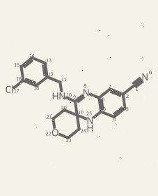 N#Cc1ccc2c(c1)N=C(NCc1cccc(Cl)c1)C1(CCOCC1)N2